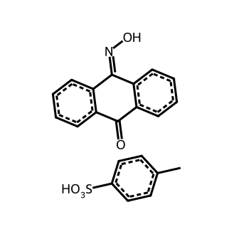 Cc1ccc(S(=O)(=O)O)cc1.O=C1c2ccccc2C(=NO)c2ccccc21